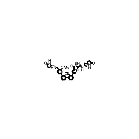 COc1nc(-c2cccc(-c3cccc(-c4cc5c(=O)n(C)c(CN[C@H]6C[C@]7(CCC(=O)N7)C6)nn5c4)c3Cl)c2Cl)ccc1CNC[C@@H]1CCC(=O)N1